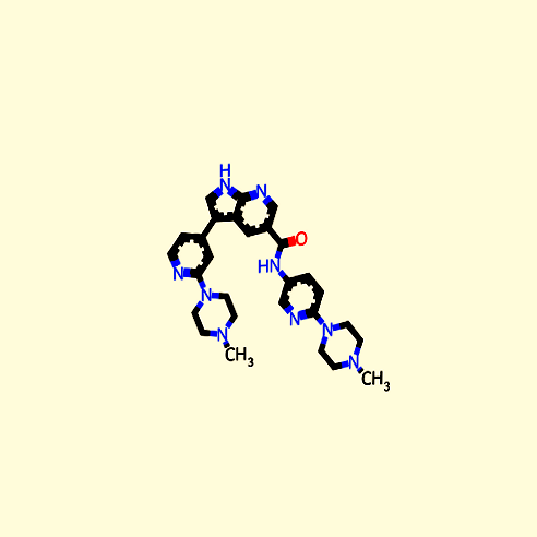 CN1CCN(c2ccc(NC(=O)c3cnc4[nH]cc(-c5ccnc(N6CCN(C)CC6)c5)c4c3)cn2)CC1